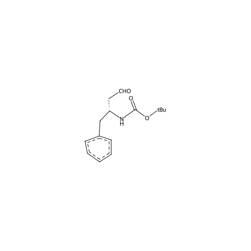 CC(C)(C)OC(=O)N[C@@H](CC=O)Cc1ccccc1